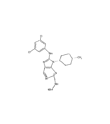 CC(C)(C)Nc1ncc2nc(Nc3cc(Cl)cc(Cl)c3)n([C@H]3CC[C@@H](C)CC3)c2n1